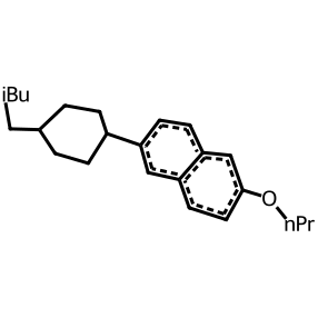 CCCOc1ccc2cc(C3CCC(CC(C)CC)CC3)ccc2c1